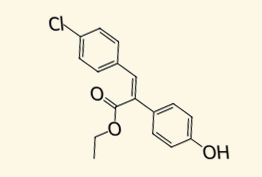 CCOC(=O)C(=Cc1ccc(Cl)cc1)c1ccc(O)cc1